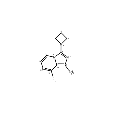 Bc1nc(N2CCC2)n2ccnc(Cl)c12